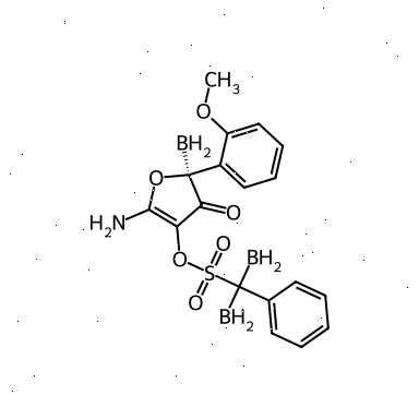 BC(B)(c1ccccc1)S(=O)(=O)OC1=C(N)O[C@@](B)(c2ccccc2OC)C1=O